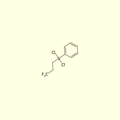 FC(F)(F)CC[Si](Cl)(Cl)c1ccccc1